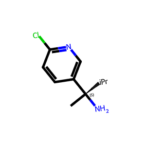 CC(C)[C@](C)(N)c1ccc(Cl)nc1